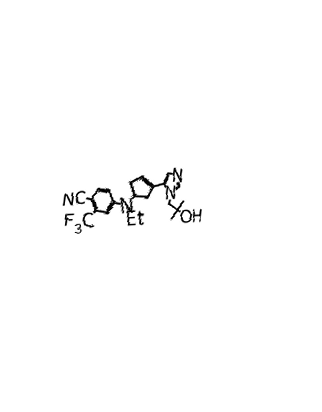 CCN(c1ccc(C#N)c(C(F)(F)F)c1)C1CC=C(c2cncn2CC(C)(C)O)C1